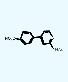 CC(=O)Nc1cc(-c2ccc(C(=O)O)cc2)ccn1